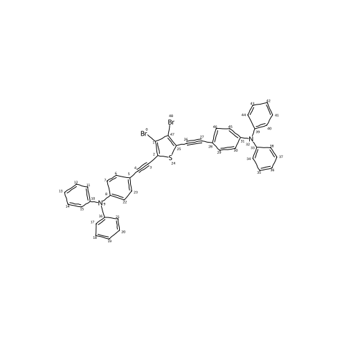 Brc1c(C#Cc2ccc(N(c3ccccc3)c3ccccc3)cc2)sc(C#Cc2ccc(N(c3ccccc3)c3ccccc3)cc2)c1Br